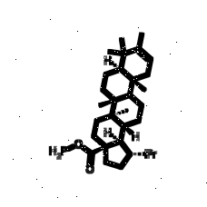 CC1=CC[C@]2(C)C3CC[C@@H]4[C@H]5[C@H](C(C)C)CC[C@]5(C(=O)OP)CC[C@@]4(C)[C@]3(C)CC[C@H]2C1(C)C